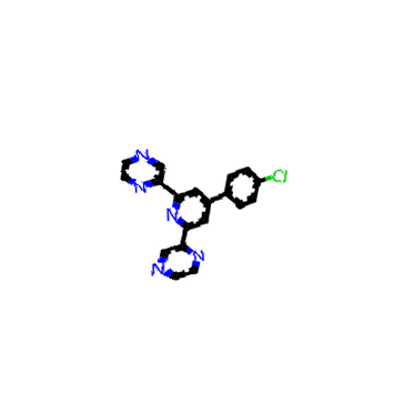 Clc1ccc(-c2cc(-c3cnccn3)nc(-c3cnccn3)c2)cc1